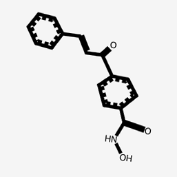 O=C(/C=C/c1ccccc1)c1ccc(C(=O)NO)cc1